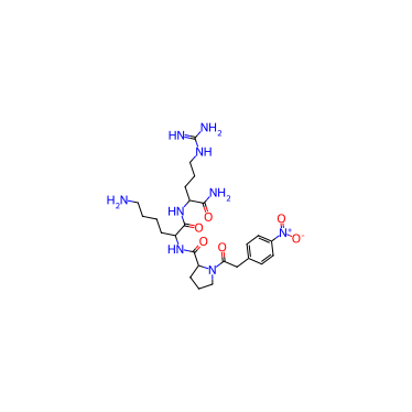 N=C(N)NCCCC(NC(=O)C(CCCCN)NC(=O)C1CCCN1C(=O)Cc1ccc([N+](=O)[O-])cc1)C(N)=O